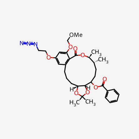 COCOc1cc(OCCN=[N+]=[N-])cc2c1C(=O)O[C@@H](C)[C@H](C)CCC(OC(=O)c1ccccc1)[C@H]1OC(C)(C)O[C@@H]1CCC2